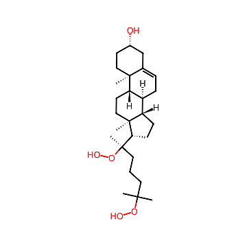 CC(C)(CCC[C@@](C)(OO)[C@H]1CC[C@H]2[C@@H]3CC=C4C[C@@H](O)CC[C@]4(C)[C@H]3CC[C@@]21C)OO